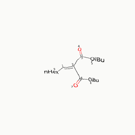 CCCCCCC=C(C(=O)OCC(C)C)C(=O)OCC(C)C